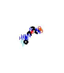 CS(=O)(=O)c1nccc(-c2cccnc2Oc2ccc(Nc3nc4ccc(F)c(F)c4[nH]3)nc2)n1